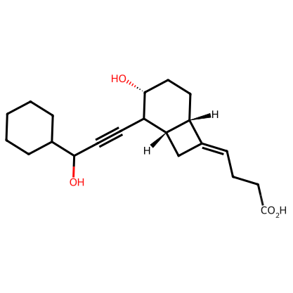 O=C(O)CC/C=C1\C[C@@H]2C(C#CC(O)C3CCCCC3)[C@H](O)CC[C@H]12